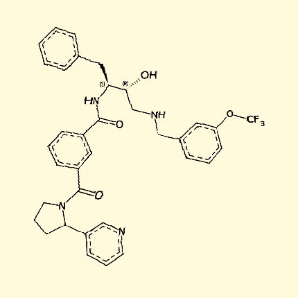 O=C(N[C@@H](Cc1ccccc1)[C@H](O)CNCc1cccc(OC(F)(F)F)c1)c1cccc(C(=O)N2CCCC2c2cccnc2)c1